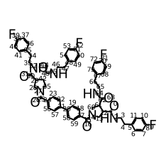 O=C(NCCc1ccc(F)cc1)C1CN(C(=O)c2ccc(-c3ccc(C(=O)N4CC(C(=O)NCCc5ccc(F)cc5)[C@H](C(=O)NCCc5ccc(F)cc5)C4)cc3)cc2)CC1C(=O)NCCc1ccc(F)cc1